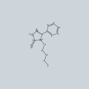 CCCCCn1c(-c2ccccc2)noc1=O